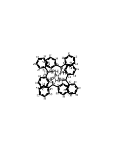 c1ccc(C([PH][Pt]([PH]C(c2ccccc2)c2ccccc2)([PH]C(c2ccccc2)c2ccccc2)[PH]C(c2ccccc2)c2ccccc2)c2ccccc2)cc1